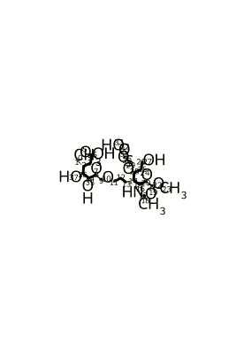 CC[C@@H]1C(C(=O)O)O[C@@H](COCCC[C@H]2C(NC(C)=O)[C@H](COC)OC(CO)[C@@H]2OSOOO)C(O)[C@@H]1O